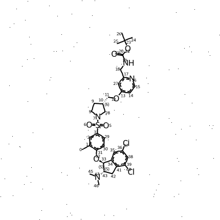 Cc1cc(S(=O)(=O)N2CC[C@H](COc3ccnc(CNC(=O)OC(C)(C)C)c3)C2)ccc1O[C@H]1c2cc(Cl)cc(Cl)c2C[C@@H]1N(C)C